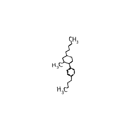 CCCCCC1CCC(c2ccc(CCCC)cc2)C(C)C1